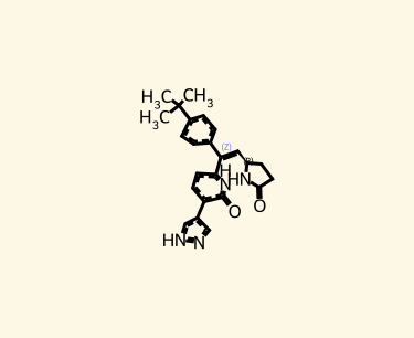 CC(C)(C)c1ccc(/C(=C/[C@H]2CCC(=O)N2)c2ccc(-c3cn[nH]c3)c(=O)[nH]2)cc1